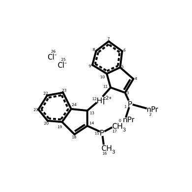 CCCP(CCC)C1=Cc2ccccc2[CH]1[Hf+2][CH]1C(P(C)C)=Cc2ccccc21.[Cl-].[Cl-]